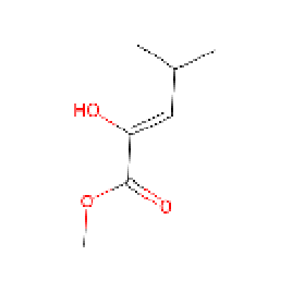 COC(=O)C(O)=CC(C)C